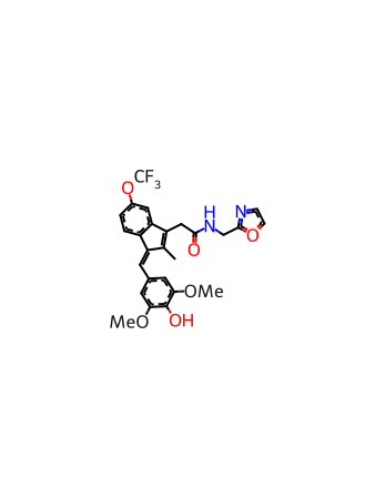 COc1cc(C=C2C(C)=C(CC(=O)NCc3ncco3)c3cc(OC(F)(F)F)ccc32)cc(OC)c1O